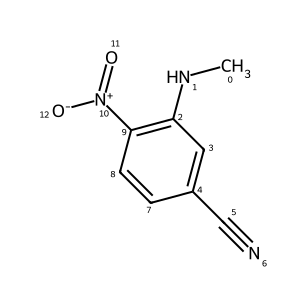 CNc1cc(C#N)ccc1[N+](=O)[O-]